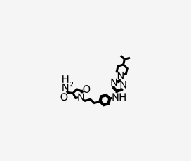 CC(C)C1CCN(c2ncc(Nc3ccc(CCCN4CC(C(N)=O)CC4=O)cc3)cn2)CC1